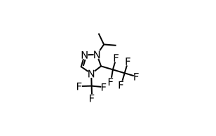 CC(C)N1N=CN(C(F)(F)F)C1C(F)(F)C(F)(F)F